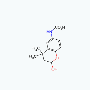 CC1(C)CC(O)Oc2ccc(NC(=O)O)cc21